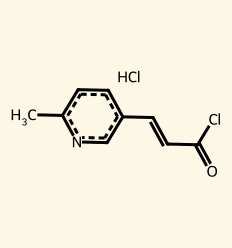 Cc1ccc(/C=C/C(=O)Cl)cn1.Cl